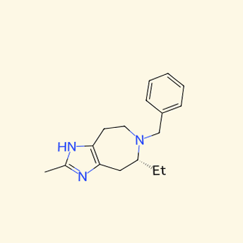 CC[C@@H]1Cc2nc(C)[nH]c2CCN1Cc1ccccc1